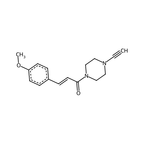 C#CN1CCN(C(=O)C=Cc2ccc(OC)cc2)CC1